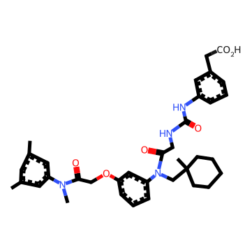 Cc1cc(C)cc(N(C)C(=O)COc2cccc(N(CC3(C)CCCCC3)C(=O)CNC(=O)Nc3cccc(CC(=O)O)c3)c2)c1